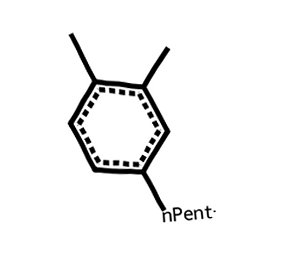 CCCC[CH]c1ccc(C)c(C)c1